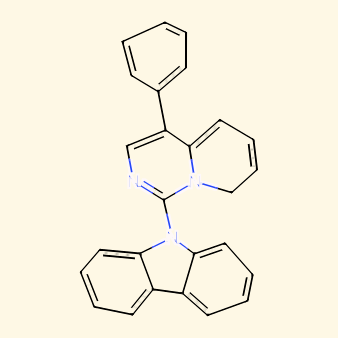 C1=CCN2C(=C1)C(c1ccccc1)=CN=C2n1c2ccccc2c2ccccc21